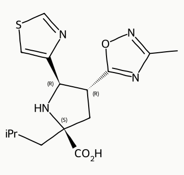 Cc1noc([C@@H]2C[C@@](CC(C)C)(C(=O)O)N[C@H]2c2cscn2)n1